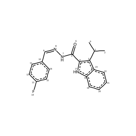 CC(C)c1c(C(=O)N/N=C\c2ccc(F)cc2)[nH]c2ccccc12